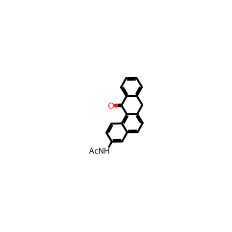 CC(=O)Nc1ccc2c3c(ccc2c1)Cc1ccccc1C3=O